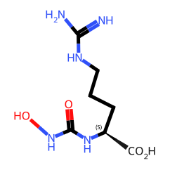 N=C(N)NCCC[C@H](NC(=O)NO)C(=O)O